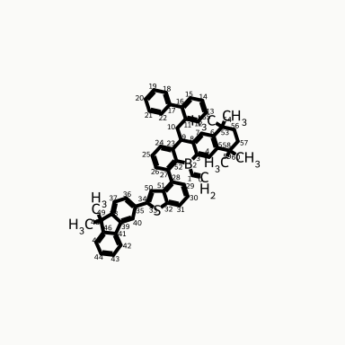 C=CB1c2cc3c(cc2C(Cc2ccccc2-c2ccccc2)c2cccc(-c4cccc5sc(-c6ccc7c(c6)-c6ccccc6C7(C)C)cc45)c21)C(C)(C)CCC3(C)C